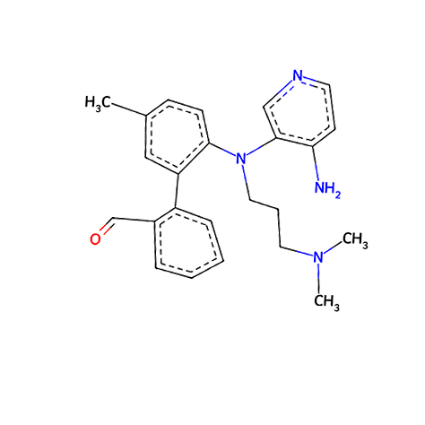 Cc1ccc(N(CCCN(C)C)c2cnccc2N)c(-c2ccccc2C=O)c1